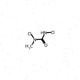 CN(Cl)C(=O)NCl